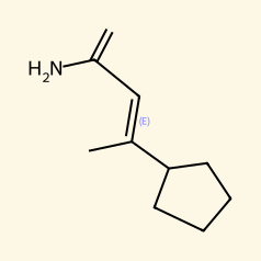 C=C(N)/C=C(\C)C1CCCC1